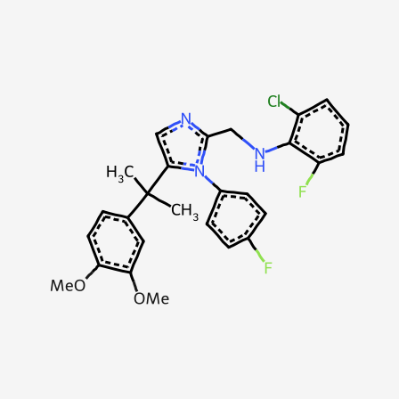 COc1ccc(C(C)(C)c2cnc(CNc3c(F)cccc3Cl)n2-c2ccc(F)cc2)cc1OC